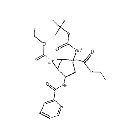 CCOC(=O)[C@H]1C2C(NC(=O)c3ccccn3)CC(NC(=O)OC(C)(C)C)(C(=O)OCC)C21